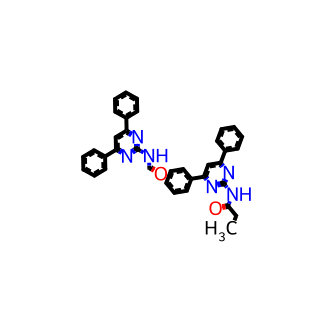 CCC(=O)Nc1nc(-c2ccccc2)cc(-c2ccccc2)n1.O=CNc1nc(-c2ccccc2)cc(-c2ccccc2)n1